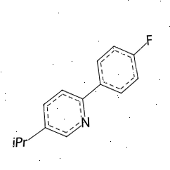 CC(C)c1ccc(-c2ccc(F)cc2)nc1